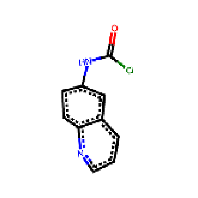 O=C(Cl)Nc1ccc2ncccc2c1